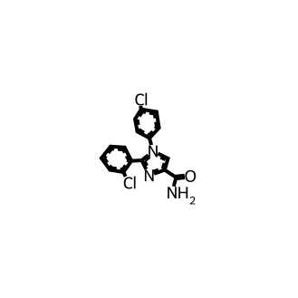 NC(=O)c1cn(-c2ccc(Cl)cc2)c(-c2ccccc2Cl)n1